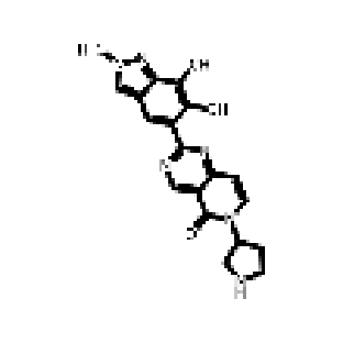 Cc1c(O)c(-c2ncc3c(=O)n(C4CCNC4)ccc3n2)cc2cn(C)nc12